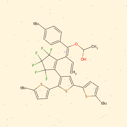 C=C/C(C1=C(c2cc(-c3ccc(C(C)(C)C)s3)sc2-c2ccc(C(C)(C)C)s2)C(F)(F)C(F)(F)C1(F)F)=C(\OC(C)O)c1ccc(C(C)(C)C)cc1